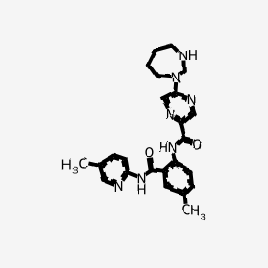 Cc1ccc(NC(=O)c2cc(C)ccc2NC(=O)c2cnc(N3CCCCNC3)cn2)nc1